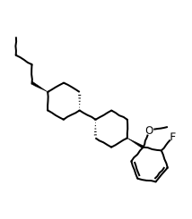 CCCC[C@H]1CC[C@H]([C@H]2CC[C@H](C3(OC)C=CC=CC3F)CC2)CC1